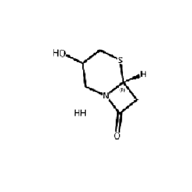 O=C1C[C@H]2SCC(O)CN12.[HH]